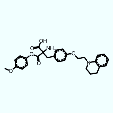 COc1ccc(OC(=O)C(N)(Cc2ccc(OCCN3CCCc4ccccc43)cc2)C(=O)O)cc1